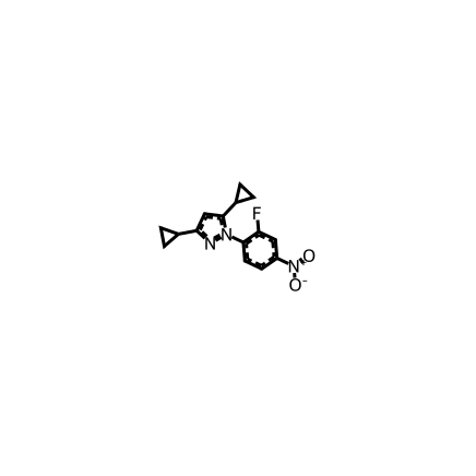 O=[N+]([O-])c1ccc(-n2nc(C3CC3)cc2C2CC2)c(F)c1